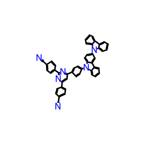 N#Cc1ccc(-c2cc(-c3ccc(-n4c5ccccc5c5cc(-n6c7ccccc7c7ccccc76)ccc54)cc3)nc(-c3ccc(C#N)cc3)n2)cc1